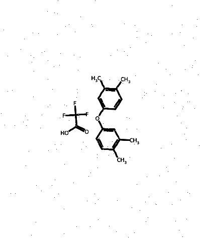 Cc1ccc(Oc2ccc(C)c(C)c2)cc1C.O=C(O)C(F)(F)F